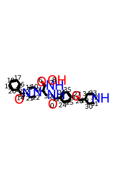 O=C(NCC(C(=O)NO)N1CCN(C(=O)c2ccccc2)CC1)c1ccc(OCC2CCNCC2)cc1